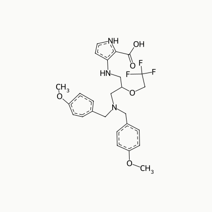 COc1ccc(CN(Cc2ccc(OC)cc2)CC(CNc2cc[nH]c2C(=O)O)OCC(F)(F)F)cc1